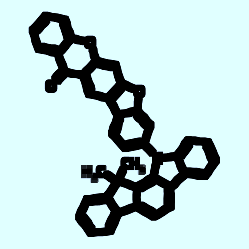 CC1(C)c2ccccc2-c2ccc3c4ccccc4n(-c4ccc5c(c4)oc4cc6oc7ccccc7c(=O)c6cc45)c3c21